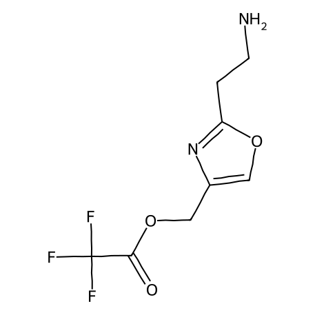 NCCc1nc(COC(=O)C(F)(F)F)co1